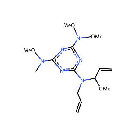 C=CCN(c1nc(N(C)OC)nc(N(OC)OC)n1)C(C=C)OC